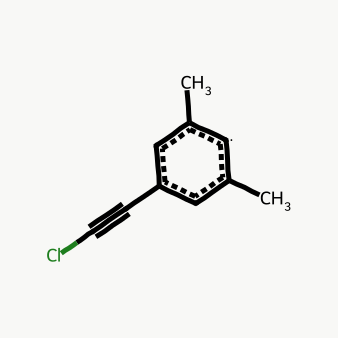 Cc1[c]c(C)cc(C#CCl)c1